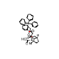 O=C(O[C@H]1C[C@@H]2CC[C@H]([C@H]1C(=O)O)N2C(=O)CCCSC(c1ccccc1)(c1ccccc1)c1ccccc1)c1ccccc1